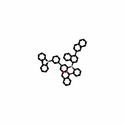 c1cc(-c2cccc(-n3c4ccccc4c4ccccc43)c2)cc(N(c2ccccc2-c2cccc3ccccc23)c2ccc(-c3ccc4ccccc4c3)c3ccccc23)c1